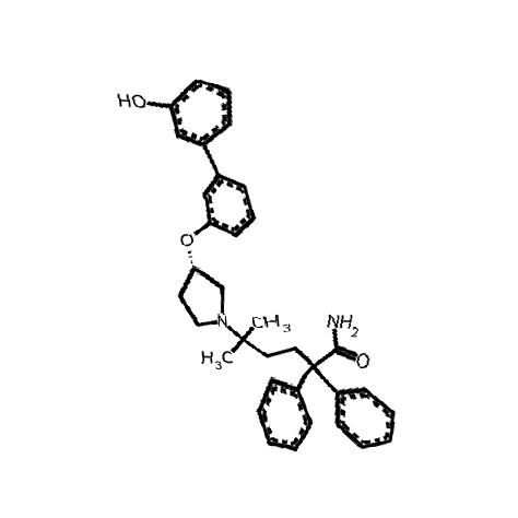 CC(C)(CCC(C(N)=O)(c1ccccc1)c1ccccc1)N1CC[C@H](Oc2cccc(-c3cccc(O)c3)c2)C1